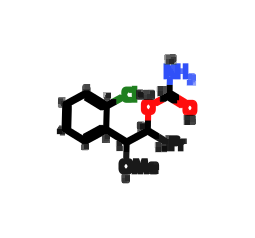 COC(c1ccccc1Cl)C(OC(N)=O)C(C)C